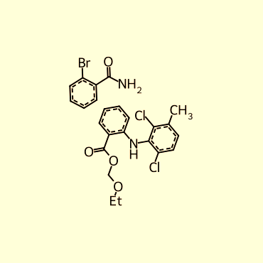 CCOCOC(=O)c1ccccc1Nc1c(Cl)ccc(C)c1Cl.NC(=O)c1ccccc1Br